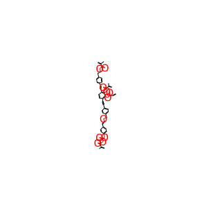 C=CC(=O)Oc1c(C#Cc2ccc(CO/C=C/c3ccc(OC(=O)OC(=O)C(=C)C)cc3)cc2)ccc(C#Cc2ccc(CCOC(=O)C(=C)C)cc2)c1OC(=O)C(=C)C